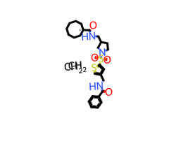 O=C(NCC1CCN(S(=O)(=O)c2cc(CNC(=O)c3ccccc3)cs2)C1)[C]1CCCCCCC1.[CH2].[CH2]